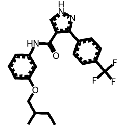 CCC(C)COc1cccc(NC(=O)c2c[nH]nc2-c2ccc(C(F)(F)F)cc2)c1